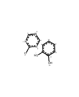 Clc1ncncn1.Oc1ccccc1O